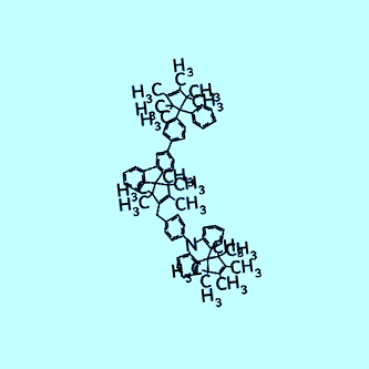 CC1=C(C)C(C)(C)C(c2ccccc2)(c2ccc(-c3ccc4c(c3)-c3ccccc3C43C(C)(C)C(C)=C(Cc4ccc(N5c6ccccc6C6(c7ccccc75)C(C)(C)C(C)=C(C)C6(C)C)cc4)C3(C)C)cc2)C1(C)C